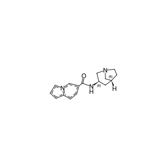 O=C(N[C@@H]1C[C@H]2CCN(C2)C1)c1ccc2cccn2c1